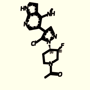 CNc1c(-c2cnn([C@H]3CCN(C(C)=O)C[C@@H]3F)c2Cl)cnc2[nH]ccc12